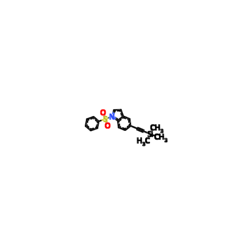 C[Si](C)(C)C#Cc1ccc2c(ccn2S(=O)(=O)c2ccccc2)c1